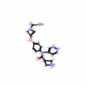 CCCCC(=O)N1CC(Oc2ccc(N(C(=O)C3CNC3)c3ccnnc3)cc2)C1